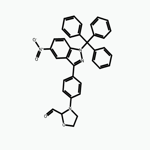 O=CC1OCCN1c1ccc(-c2nn(C(c3ccccc3)(c3ccccc3)c3ccccc3)c3ccc([N+](=O)[O-])cc23)cc1